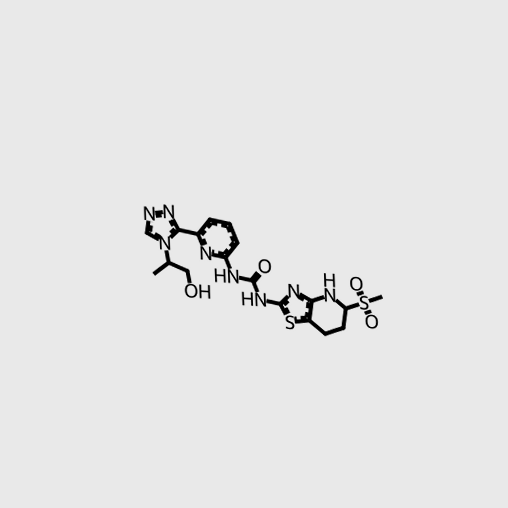 CC(CO)n1cnnc1-c1cccc(NC(=O)Nc2nc3c(s2)CCC(S(C)(=O)=O)N3)n1